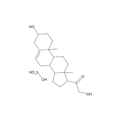 CC12CCC(O)CC1=CCC1C2CCC2(C)C(C(=O)CO)CCC12.O=S(=O)(O)O